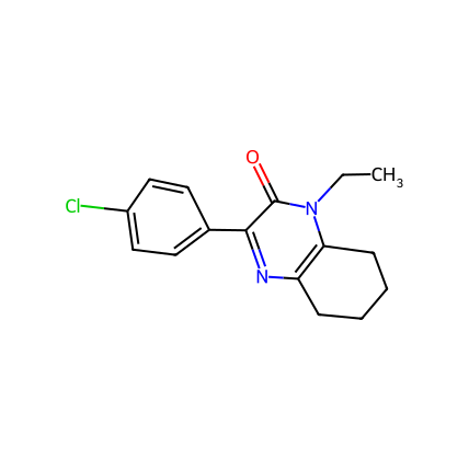 CCn1c2c(nc(-c3ccc(Cl)cc3)c1=O)CCCC2